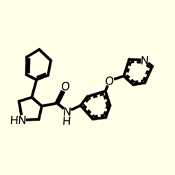 O=C(Nc1cccc(Oc2cccnc2)c1)C1CNCC1C1=CCCC=C1